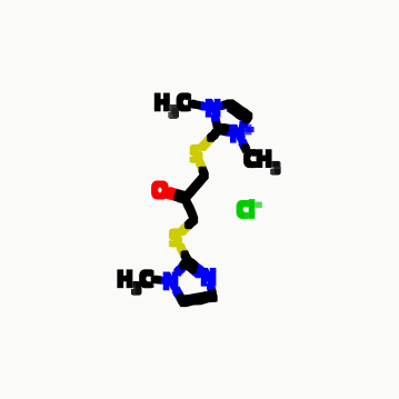 Cn1ccnc1SCC(=O)CSc1n(C)cc[n+]1C.[Cl-]